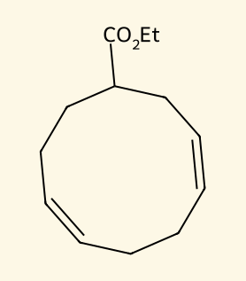 CCOC(=O)C1CC=CCCC=CCC1